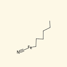 CCCCC[CH2][Fe][C]#N